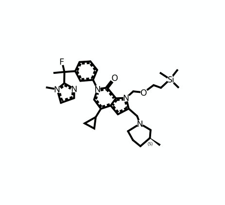 C[C@H]1CCCN(Cc2cc3c(C4CC4)cn(-c4cccc(C(C)(F)c5nccn5C)c4)c(=O)c3n2COCC[Si](C)(C)C)C1